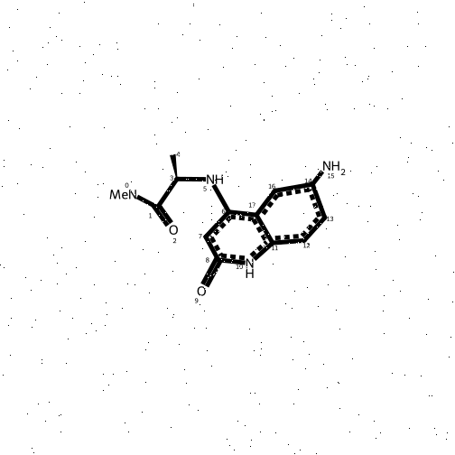 CNC(=O)[C@@H](C)Nc1cc(=O)[nH]c2ccc(N)cc12